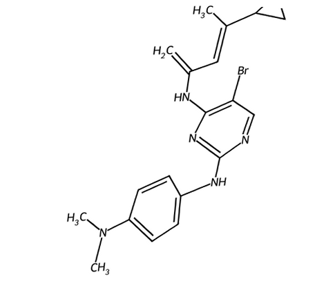 C=C(/C=C(\C)C1CC1)Nc1nc(Nc2ccc(N(C)C)cc2)ncc1Br